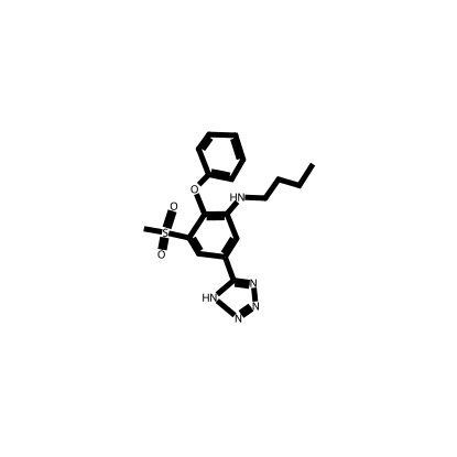 CCCCNc1cc(-c2nnn[nH]2)cc(S(C)(=O)=O)c1Oc1ccccc1